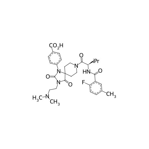 Cc1ccc(F)c(C(=O)N[C@@H](C(=O)N2CCC3(CC2)C(=O)N(CCN(C)C)C(=O)N3c2ccc(C(=O)O)cc2)C(C)C)c1